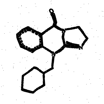 O=C1c2ccccc2N(CC2CCCCC2)C2=NCCN12